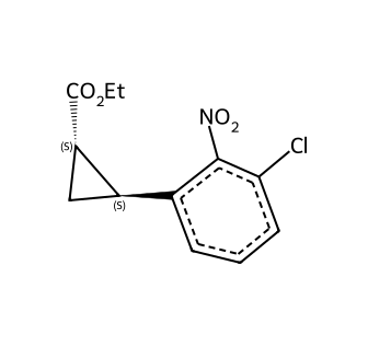 CCOC(=O)[C@H]1C[C@@H]1c1cccc(Cl)c1[N+](=O)[O-]